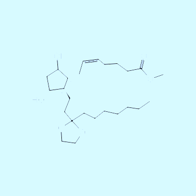 CCCCCCCC1(CC[C@H]2[C@H](O)CC(O)[C@@H]2C/C=C\CCCC(=O)OC)OCCO1